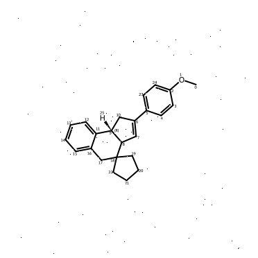 COc1ccc(C2=CC3[C@@H](C2)c2ccccc2CC32CCCC2)cc1